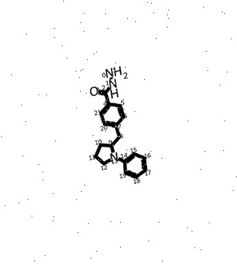 NNC(=O)c1ccc(CC2CCCN2c2ccccc2)cc1